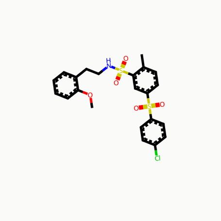 COc1ccccc1CCNS(=O)(=O)c1cc(S(=O)(=O)c2ccc(Cl)cc2)ccc1C